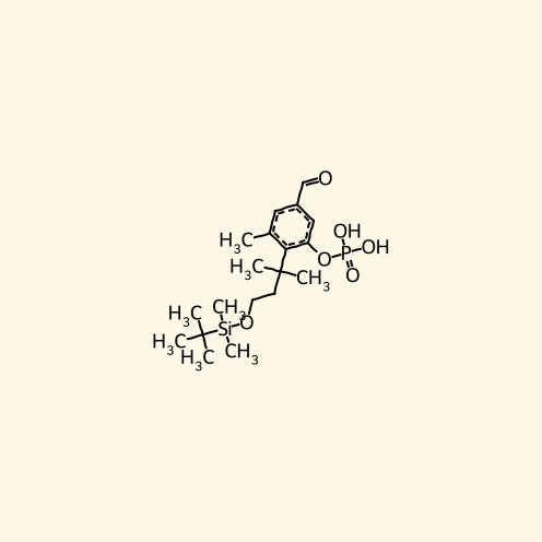 Cc1cc(C=O)cc(OP(=O)(O)O)c1C(C)(C)CCO[Si](C)(C)C(C)(C)C